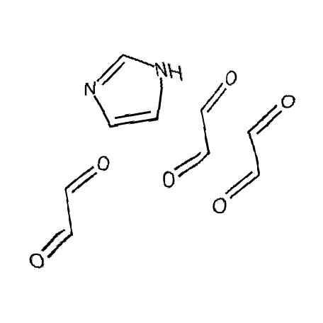 O=CC=O.O=CC=O.O=CC=O.c1c[nH]cn1